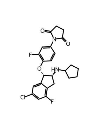 O=C1CCC(=O)N1c1ccc(O[C@H]2c3cc(Cl)cc(F)c3C[C@@H]2NC2CCCC2)c(F)c1